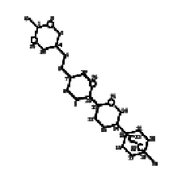 CC1OCC(CCC2CC[C@H]([C@@H]3CCC(C45CCC(C)(CC4)CC5)CO3)OC2)CO1